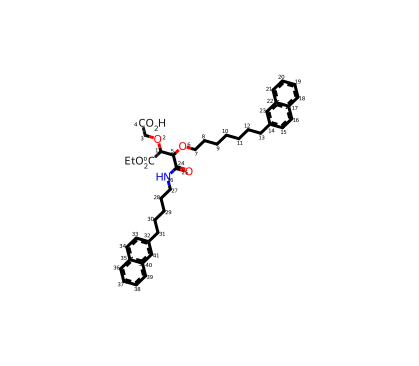 CCOC(=O)C(OCC(=O)O)C(OCCCCCCCc1ccc2ccccc2c1)C(=O)NCCCCCc1ccc2ccccc2c1